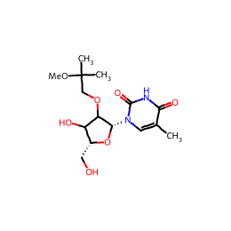 COC(C)(C)COC1C(O)[C@@H](CO)O[C@H]1n1cc(C)c(=O)[nH]c1=O